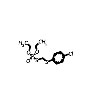 CCOP(=O)(OCC)SCSc1ccc(Cl)cc1